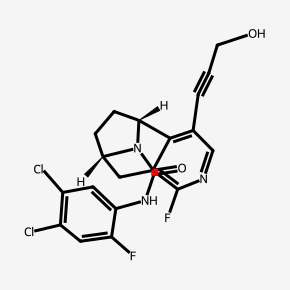 O=C(Nc1cc(Cl)c(Cl)cc1F)N1[C@H]2CC[C@@H]1c1c(C#CCO)cnc(F)c1C2